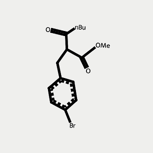 CCCCC(=O)C(Cc1ccc(Br)cc1)C(=O)OC